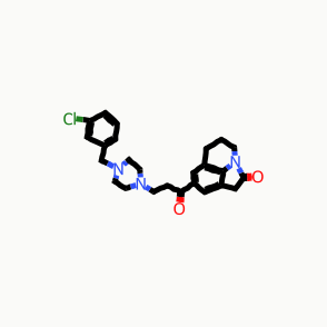 O=C(CCN1CCN(Cc2cccc(Cl)c2)CC1)c1cc2c3c(c1)CC(=O)N3CCC2